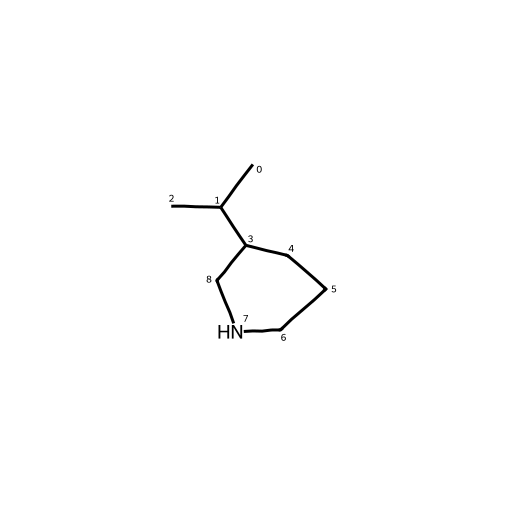 CC(C)C1CCCNC1